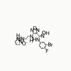 [O-][N+]1(NCCNc2nonc2C(=NO)Nc2ccc(F)c(Br)c2)CC=CN1